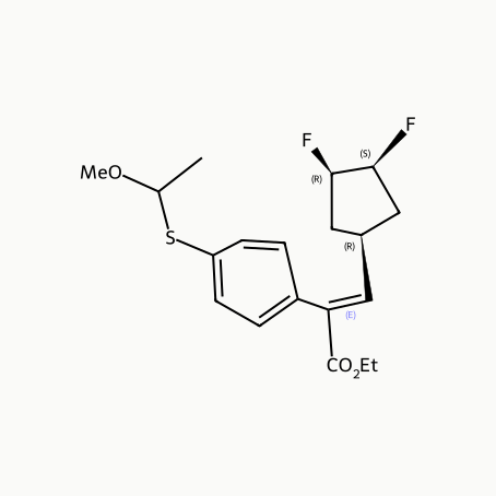 CCOC(=O)/C(=C/[C@H]1C[C@@H](F)[C@@H](F)C1)c1ccc(SC(C)OC)cc1